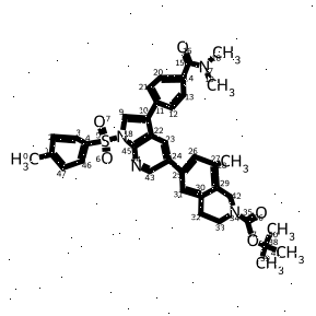 Cc1ccc(S(=O)(=O)n2cc(-c3ccc(C(=O)N(C)C)cc3)c3cc(-c4cc(C)c5c(c4)CCN(C(=O)OC(C)(C)C)C5)cnc32)cc1